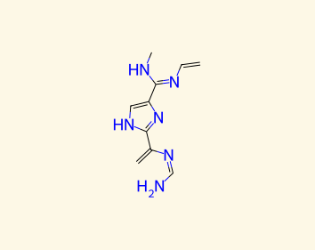 C=C/N=C(\NC)c1c[nH]c(C(=C)/N=C\N)n1